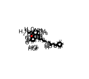 CC1NC(C)C(CCN)(C(=O)O)C(c2cc([N+](=O)[O-])ccc2OCCCCNCC(O)COc2ccccc2)C1(C)C(=O)O.Cl.Cl